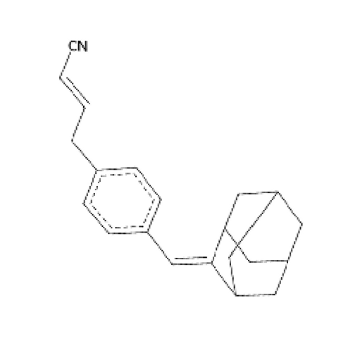 N#CC=CCc1ccc(C=C2C3CC4CC(C3)CC2C4)cc1